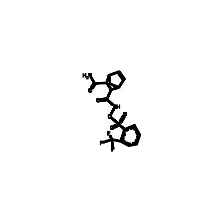 NC(=O)C1C2C=CC(C2)C1C(=O)NOS(=O)(=O)c1ccccc1C(F)(F)F